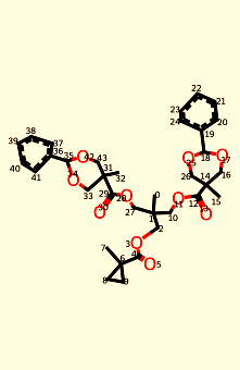 CC(COC(=O)C1(C)CC1)(COC(=O)C1(C)COC(c2ccccc2)OC1)COC(=O)C1(C)COC(c2ccccc2)OC1